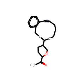 CC(=O)C1CCC(C2CCCC/C=C\c3ccccc3CC2)CO1